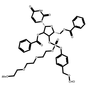 COCCOCCOCCOP(=O)(Oc1ccc(COC=O)cc1)OC1C(OC(=O)c2ccccc2)[C@H](n2ccc(=O)[nH]c2=O)O[C@@H]1COC(=O)c1ccccc1